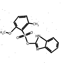 COc1cccc(C)c1S(=O)(=O)Oc1nc2ccccc2[nH]1